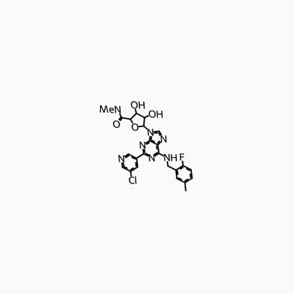 CNC(=O)C1OC(n2cnc3c(NCc4cc(C)ccc4F)nc(-c4cncc(Cl)c4)nc32)C(O)C1O